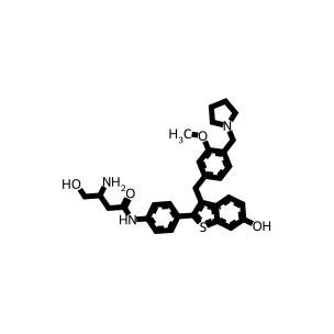 COc1cc(Cc2c(-c3ccc(NC(=O)CC(N)CO)cc3)sc3cc(O)ccc23)ccc1CN1CCCC1